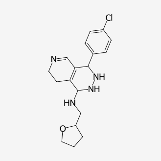 Clc1ccc(C2NNC(NCC3CCCO3)C3=C2C=NCC3)cc1